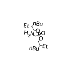 CCCCC(CC)COP(=O)(CN)OCC(CC)CCCC